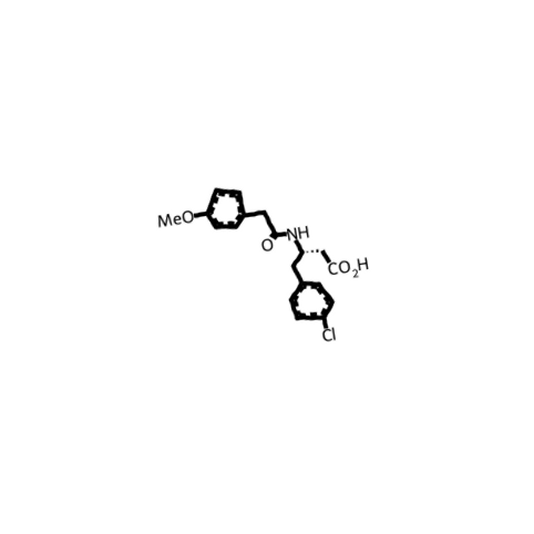 COc1ccc(CC(=O)N[C@H](CC(=O)O)Cc2ccc(Cl)cc2)cc1